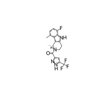 Cc1ccc(F)c2[nH]c3c(c12)[C@@H](C)N(C(=O)c1cc(C(F)(F)F)[nH]n1)CC3